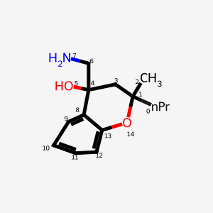 CCCC1(C)CC(O)(CN)c2ccccc2O1